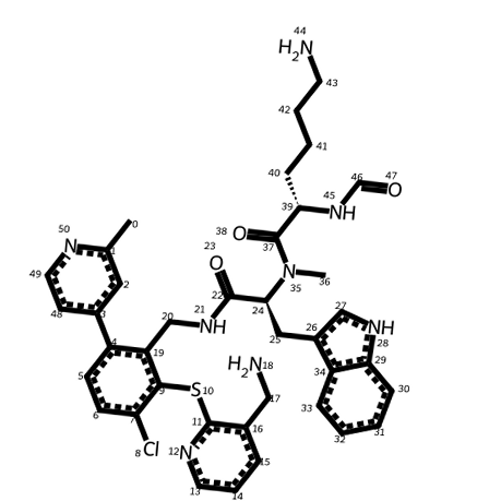 Cc1cc(-c2ccc(Cl)c(Sc3ncccc3CN)c2CNC(=O)[C@H](Cc2c[nH]c3ccccc23)N(C)C(=O)[C@H](CCCCN)NC=O)ccn1